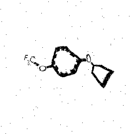 FC(F)(F)Oc1ccc(OC2CCCC2)cc1